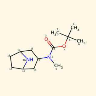 CN(C(=O)OC(C)(C)C)C1CC2CCC(C1)N2